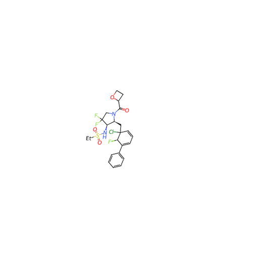 CCS(=O)(=O)N[C@@H]1[C@H](CC2(Cl)C=CC=C(c3ccccc3)[C@H]2F)N(C(=O)C2CCO2)CC1(F)F